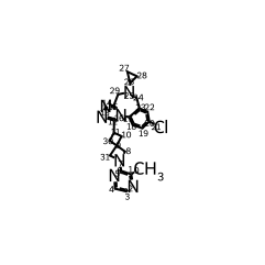 Cc1nccnc1N1CC2(CC(c3nnc4n3-c3ccc(Cl)cc3CN(C3CC3)C4)C2)C1